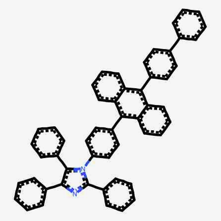 c1ccc(-c2ccc(-c3c4ccccc4c(-c4ccc(-n5c(-c6ccccc6)nc(-c6ccccc6)c5-c5ccccc5)cc4)c4ccccc34)cc2)cc1